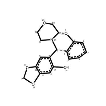 Oc1ccccc1[C@H](c1cc2c(cc1O)OCO2)N1CCOCC1